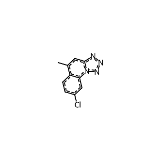 Cc1cc2nnnn2c2cc(Cl)ccc12